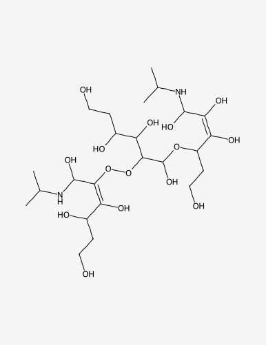 CC(C)NC(O)/C(O)=C(/O)C(CCO)OC(O)C(OO/C(=C(\O)C(O)CCO)C(O)NC(C)C)C(O)C(O)CCO